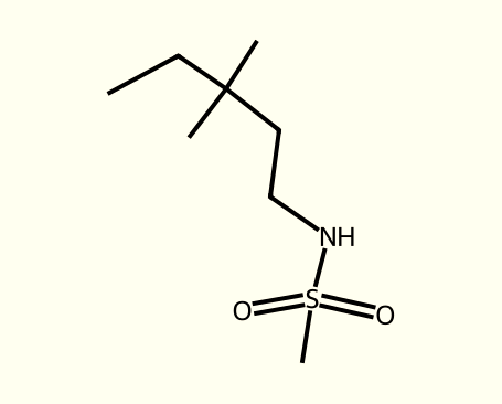 CCC(C)(C)CCNS(C)(=O)=O